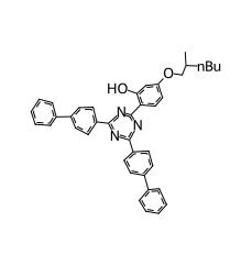 CCCCC(C)COc1ccc(-c2nc(-c3ccc(-c4ccccc4)cc3)nc(-c3ccc(-c4ccccc4)cc3)n2)c(O)c1